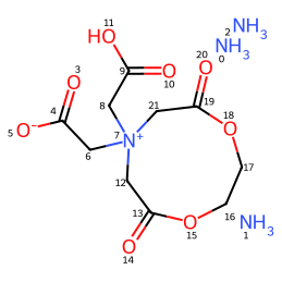 N.N.N.O=C([O-])C[N+]1(CC(=O)O)CC(=O)OCCOC(=O)C1